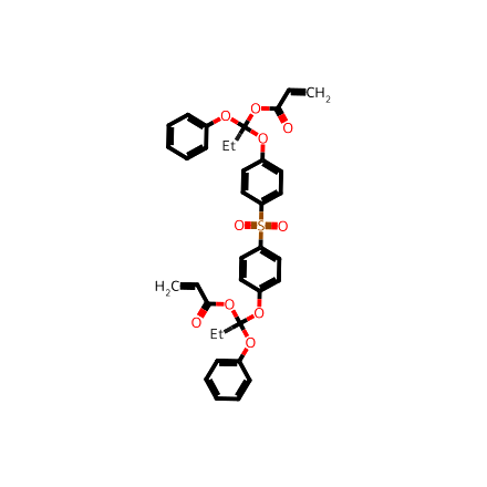 C=CC(=O)OC(CC)(Oc1ccccc1)Oc1ccc(S(=O)(=O)c2ccc(OC(CC)(OC(=O)C=C)Oc3ccccc3)cc2)cc1